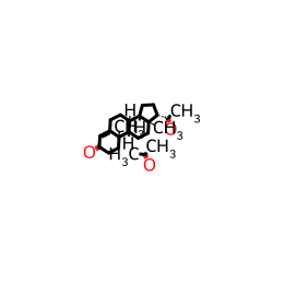 CC(=O)[C@H]1CC[C@H]2[C@@H]3CCC4=CC(=O)CC[C@]4(C)[C@H]3CC[C@]12C.CC(C)=O